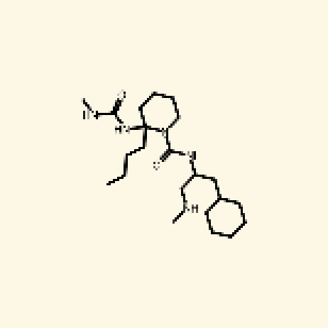 CCCCC1(NC(=O)NC)CCCCN1C(=O)NC(CNC)CC1CCCCC1